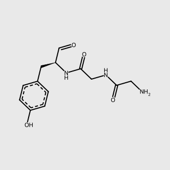 NCC(=O)NCC(=O)N[C@H](C=O)Cc1ccc(O)cc1